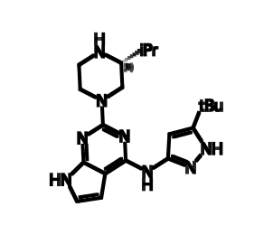 CC(C)[C@@H]1CN(c2nc(Nc3cc(C(C)(C)C)[nH]n3)c3cc[nH]c3n2)CCN1